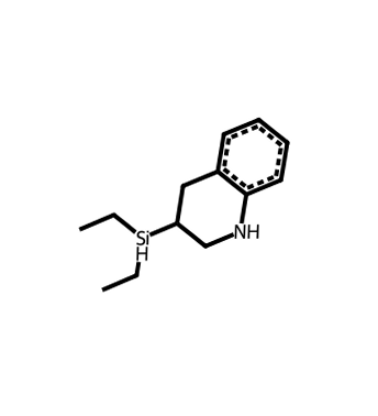 CC[SiH](CC)C1CNc2ccccc2C1